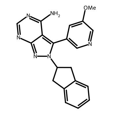 COc1cncc(-c2c3c(N)ncnc3nn2C2Cc3ccccc3C2)c1